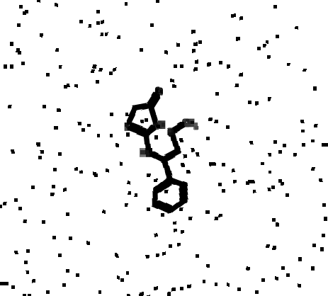 COCC(NC1=NCC(=O)N1)c1ccccc1